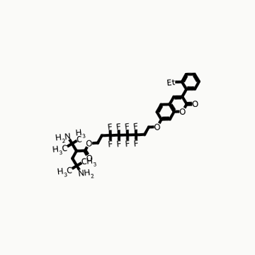 CCc1ccccc1-c1cc2ccc(OCCC(F)(F)C(F)(F)C(F)(F)C(F)(F)CCOC(=O)C(CC(C)(C)N)C(C)(C)N)cc2oc1=O